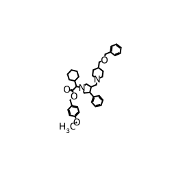 COc1ccc(COC(=O)C(C2CCCCC2)N2CC(CN3CCC(COCc4ccccc4)CC3)C(c3ccccc3)C2)cc1